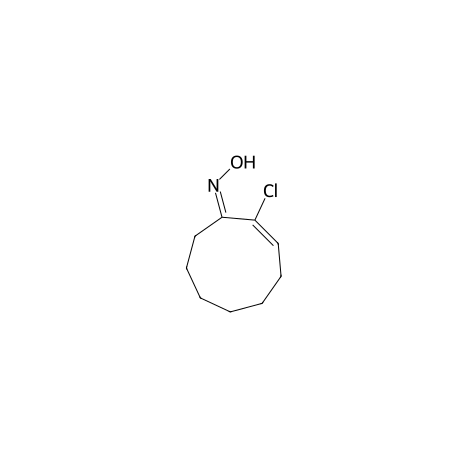 ON=C1CCCCCCC=C1Cl